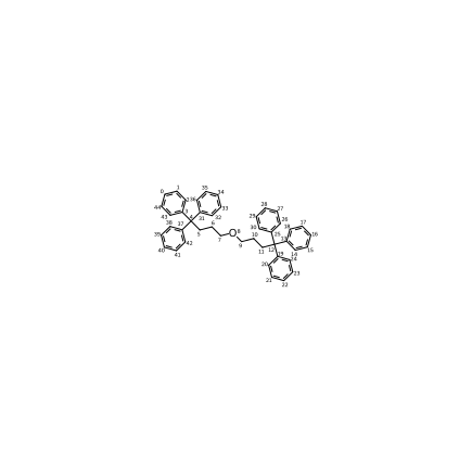 c1ccc(C(CCCOCCCC(c2ccccc2)(c2ccccc2)c2ccccc2)(c2ccccc2)c2ccccc2)cc1